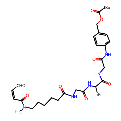 CC(C)C(NC(=O)CNC(=O)CCCCCN(C)C(=O)/C=C\C=O)C(=O)NCC(=O)Nc1ccc(COC(=O)C(C)(C)C)cc1